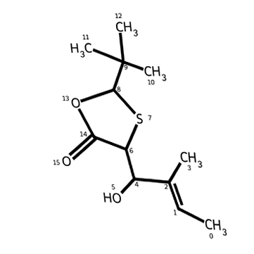 C/C=C(\C)C(O)C1SC(C(C)(C)C)OC1=O